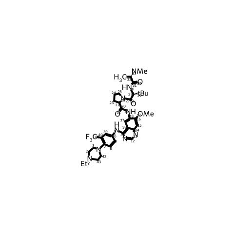 CCN1CCN(c2ccc(Nc3ncnc4cc(OC)c(NC(=O)C5CCCN5C(=O)[C@@H](NC(=O)[C@H](C)NC)C(C)(C)C)cc34)cc2C(F)(F)F)CC1